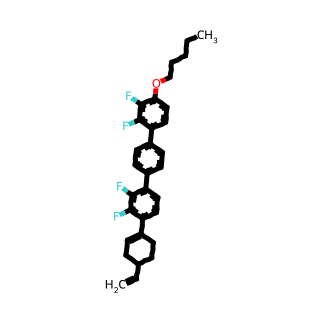 C=CC1CC=C(c2ccc(-c3ccc(-c4ccc(OCCCCC)c(F)c4F)cc3)c(F)c2F)CC1